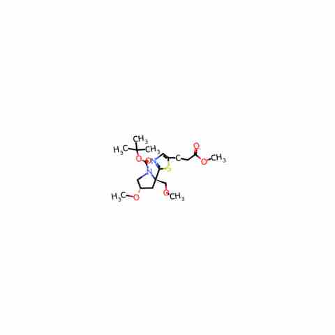 COC[C@@]1(c2ncc(CCC(=O)OC)s2)C[C@H](OC)CN1C(=O)OC(C)(C)C